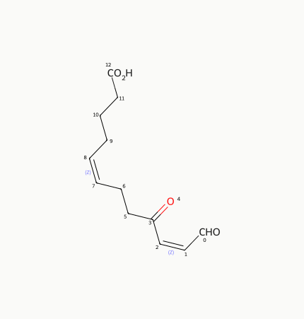 O=C/C=C\C(=O)CC/C=C\CCCC(=O)O